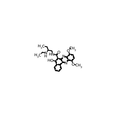 CCNC(CC)CNC(=O)c1c(O)c2ccccc2c2nc3c(OC)ccc(OC)c3nc12